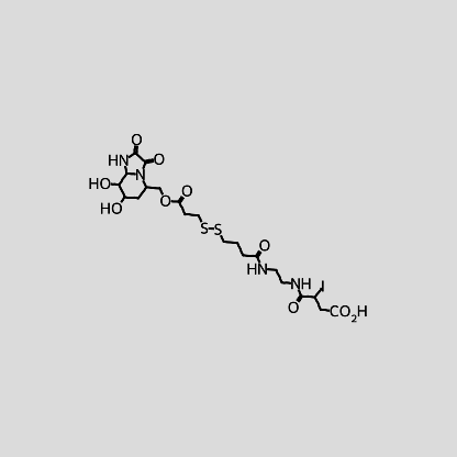 O=C(O)CC(I)C(=O)NCCNC(=O)CCCSSCCC(=O)OCC1CC(O)C(O)C2NC(=O)C(=O)N12